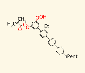 C=C(C)C(=O)OOc1cc(OO)cc(-c2ccc(-c3ccc(C4CCC(CCCCC)CC4)cc3)cc2CC)c1